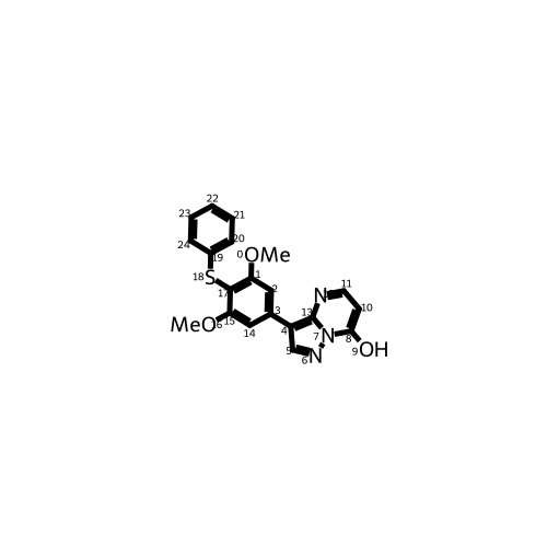 COc1cc(-c2cnn3c(O)ccnc23)cc(OC)c1Sc1ccccc1